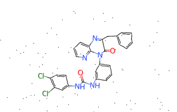 O=C(Nc1cccc(-n2c(=O)c(Cc3ccccc3)nc3cccnc32)c1)Nc1ccc(Cl)c(Cl)c1